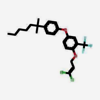 CCCCCC(C)(C)c1ccc(Oc2ccc(OCC=C(Cl)Cl)c(C(F)(F)F)c2)cc1